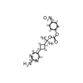 [2H]C([2H])(OC(=O)Oc1ccc([N+](=O)[O-])cc1)C1CC(c2cnc(N)nc2)C1